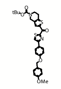 COc1ccc(COc2ccc(-c3csc(C(=O)c4cc5c(s4)CCN(C(=O)OC(C)(C)C)C5)n3)cc2)cc1